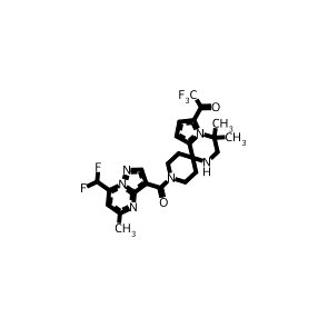 Cc1cc(C(F)F)n2ncc(C(=O)N3CCC4(CC3)NCC(C)(C)n3c(C(=O)C(F)(F)F)ccc34)c2n1